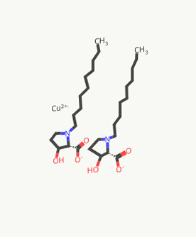 CCCCCCCCCCN1CCC(O)[C@H]1C(=O)[O-].CCCCCCCCCCN1CCC(O)[C@H]1C(=O)[O-].[Cu+2]